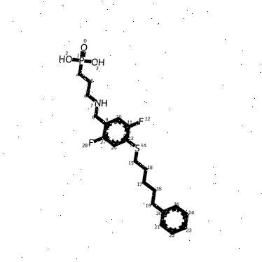 O=P(O)(O)CCCNCc1cc(F)c(SCCCCCc2ccccc2)cc1F